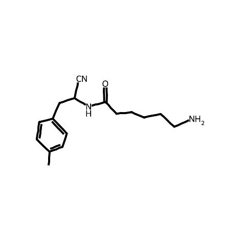 Cc1ccc(CC(C#N)NC(=O)CCCCCN)cc1